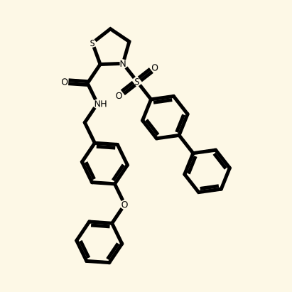 O=C(NCc1ccc(Oc2ccccc2)cc1)C1SCCN1S(=O)(=O)c1ccc(-c2ccccc2)cc1